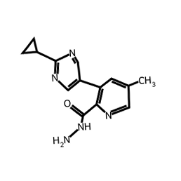 Cc1cnc(C(=O)NN)c(-c2cnc(C3CC3)nc2)c1